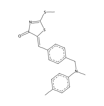 CSC1=NC(=O)C(=Cc2ccc(CN(C)c3ccc(C)cc3)cc2)S1